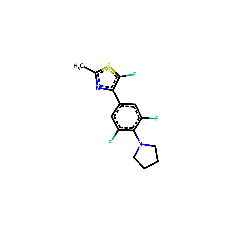 Cc1nc(-c2cc(F)c(N3CCCC3)c(F)c2)c(F)s1